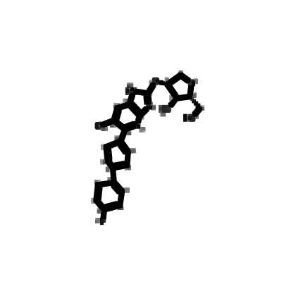 OC[C@H]1OC[C@@H](Oc2nc3nc(-c4ccc(-c5ccc(F)cc5)cc4)c(Cl)cc3[nH]2)[C@@H]1O